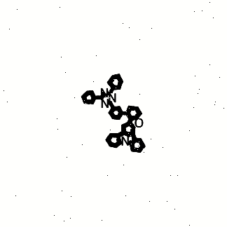 c1ccc(-c2nc(-c3ccccc3)nc(-c3cccc(-c4cccc5oc6c(cc7c8ccccc8n8c9ccccc9c6c78)c45)c3)n2)cc1